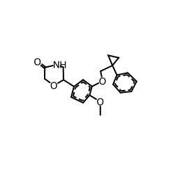 COc1ccc(C2CNC(=O)CO2)cc1OCC1(c2ccccc2)CC1